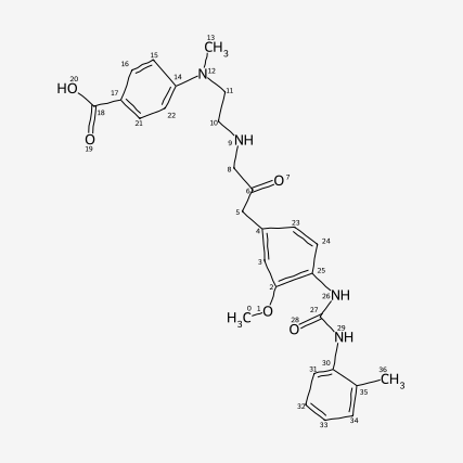 COc1cc(CC(=O)CNCCN(C)c2ccc(C(=O)O)cc2)ccc1NC(=O)Nc1ccccc1C